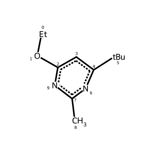 CCOc1cc(C(C)(C)C)nc(C)n1